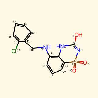 O=S1(=O)N=C(O)Nc2c(NCc3ccccc3Cl)cccc21